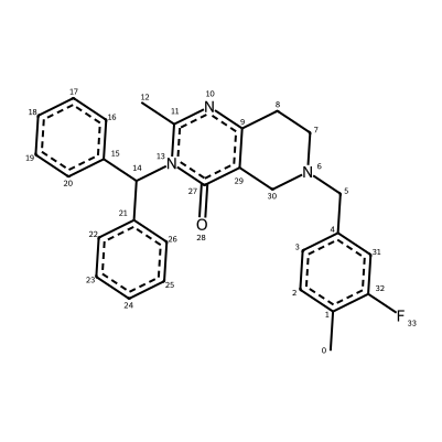 Cc1ccc(CN2CCc3nc(C)n(C(c4ccccc4)c4ccccc4)c(=O)c3C2)cc1F